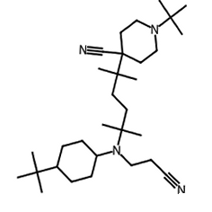 CC(C)(C)C1CCC(N(CCC#N)C(C)(C)CCC(C)(C)C2(C#N)CCN(C(C)(C)C)CC2)CC1